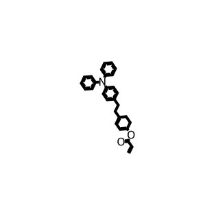 C=CC(=O)OC1=CC=C(CCc2ccc(N(c3ccccc3)c3ccccc3)cc2)CC1